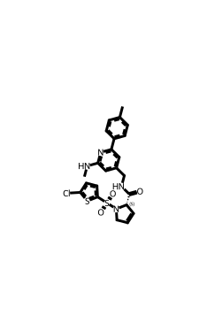 CNc1cc(CNC(=O)[C@@H]2C=CCN2S(=O)(=O)c2ccc(Cl)s2)cc(-c2ccc(C)cc2)n1